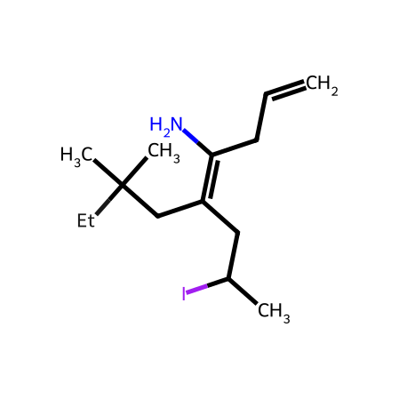 C=CC/C(N)=C(\CC(C)I)CC(C)(C)CC